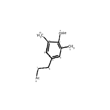 COc1c(C)cc(CCC(C)=O)cc1C